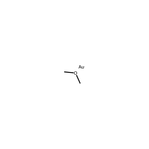 COC.[Au]